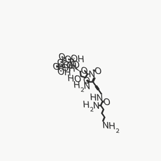 NCCCCC(N)C(=O)NCC#C/C(=C/N(C=O)[C@H]1C[C@@H](O)[C@@H](COP(=O)(O)OP(=O)(O)OP(=O)(O)O)O1)C(N)=O